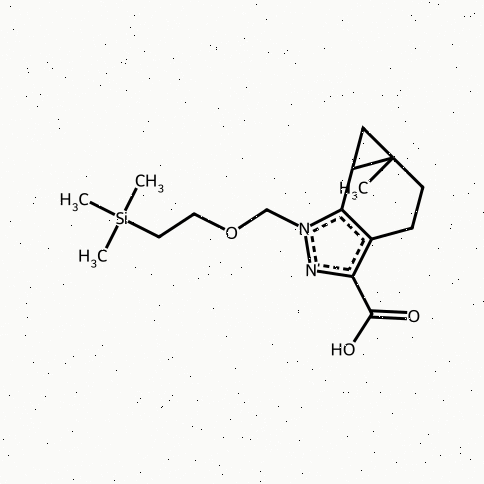 CC12CCc3c(C(=O)O)nn(COCC[Si](C)(C)C)c3C1C2